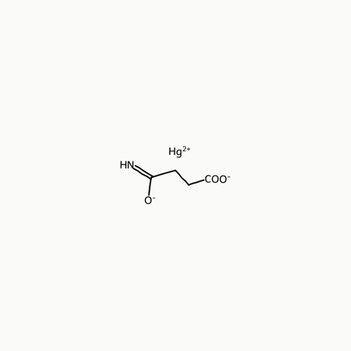 N=C([O-])CCC(=O)[O-].[Hg+2]